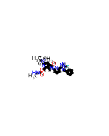 CNC(=O)OCc1nc(N(C)C(C)C)cc2c1CN(c1cccc(-c3nncn3Cc3ccccc3F)n1)C2=O